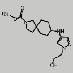 CC(C)(C)OC(=O)N1CCC2(CCC(Nc3cnn(CCO)c3)CC2)C1